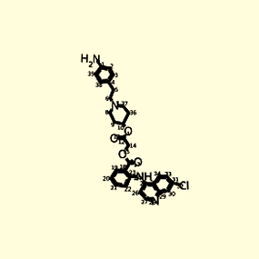 Nc1ccc(CCN2CCC(OC(=O)COC(=O)c3ccccc3Nc3ccnc4cc(Cl)ccc34)CC2)cc1